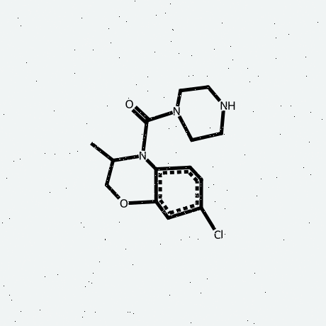 CC1COc2cc(Cl)ccc2N1C(=O)N1CCNCC1